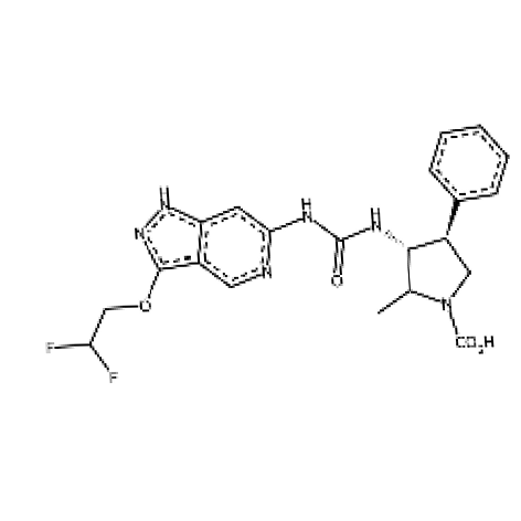 CC1[C@H](NC(=O)Nc2cc3[nH]nc(OCC(F)F)c3cn2)[C@@H](c2ccccc2)CN1C(=O)O